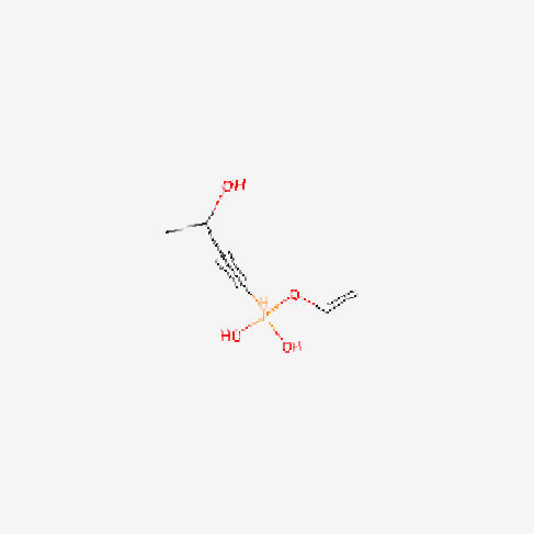 C=CO[PH](O)(O)C#CC(C)O